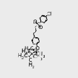 CC(C)C(C)(C)[Si](C)(C)Oc1ccc(CCCS(=O)(=O)c2ccc(Cl)cc2)cc1